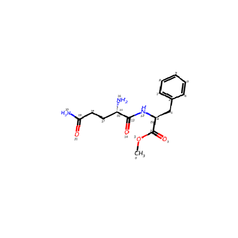 COC(=O)[C@H](Cc1ccccc1)NC(=O)[C@@H](N)CCC(N)=O